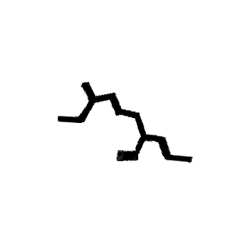 CCCC(CCCC(C)CC)N=O